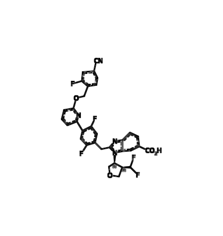 N#Cc1ccc(COc2cccc(-c3cc(F)c(Cc4nc5ccc(C(=O)O)cc5n4[C@@H]4COC[C@@H]4C(F)F)cc3F)n2)c(F)c1